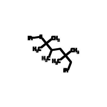 CC(C)CC(C)(C)CC(C)C(C)(C)SC(C)C